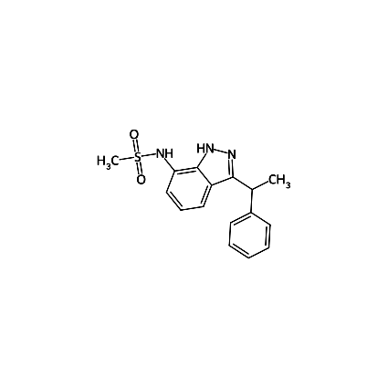 CC(c1ccccc1)c1n[nH]c2c(NS(C)(=O)=O)cccc12